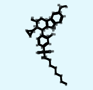 CCCCCCCNS(=O)(=O)c1ccc(C2c3[nH]c4ccc(OC)cc4c3C[C@H](C)N2C2CC2)c(F)c1